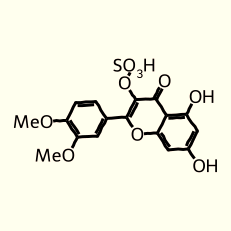 COc1ccc(-c2oc3cc(O)cc(O)c3c(=O)c2OS(=O)(=O)O)cc1OC